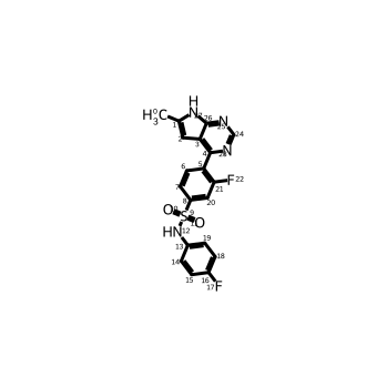 Cc1cc2c(-c3ccc(S(=O)(=O)Nc4ccc(F)cc4)cc3F)ncnc2[nH]1